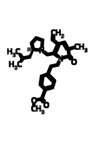 C=Cc1cc(C)c(=O)n(CCc2ccc(C(=O)OC)cc2)c1CN1CCC[C@@H]1CC(C)C